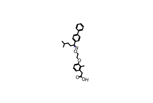 Cc1c(CC(=O)O)cccc1OCCO/N=C(\CCC(C)C)c1ccc(-c2ccccc2)cc1